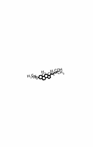 COSOC1CCC2(C)C(=CCC3C2CCC2(C)C(CCCCC(C)(C)O)CCC32)C1